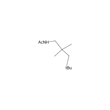 CC(=O)NCC(C)(C)CC(C)(C)C